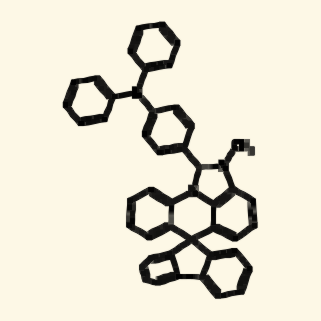 CN1c2cccc3c2N(c2ccccc2C32c3ccccc3-c3ccccc32)C1c1ccc(N(c2ccccc2)c2ccccc2)cc1